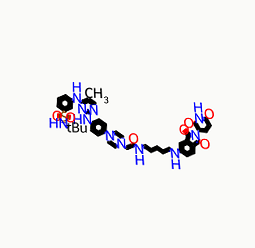 Cc1cnc(Nc2ccc(N3CCN(CC(=O)NCCCCCNc4ccc5c(c4)C(=O)N(C4CCC(=O)NC4=O)C5=O)CC3)cc2)nc1Nc1cccc(S(=O)(=O)NC(C)(C)C)c1